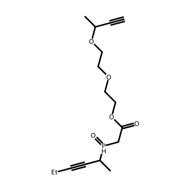 C#CC(C)OCCOCCOC(=O)C[PH](=O)C(C)C#CCC